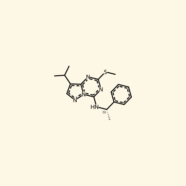 CSc1nc(N[C@@H](C)c2ccccc2)n2ncc(C(C)C)c2n1